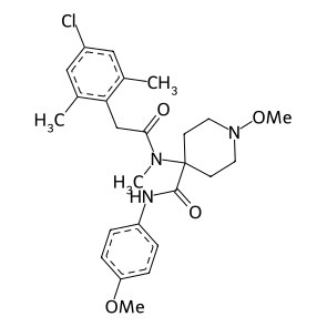 COc1ccc(NC(=O)C2(N(C)C(=O)Cc3c(C)cc(Cl)cc3C)CCN(OC)CC2)cc1